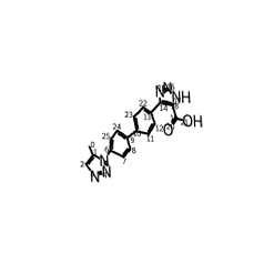 Cc1cnnn1-c1ccc(-c2ccc(-c3nn[nH]c3C(=O)O)cc2)cc1